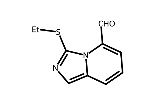 CCSc1ncc2cccc(C=O)n12